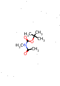 [CH2]N(C(C)=O)C(=O)OC(C)(C)C